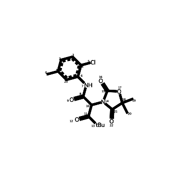 Cc1ccc(Cl)c(NC(=O)C(C(=O)C(C)(C)C)N2C(=O)OC(C)(C)C2=O)c1